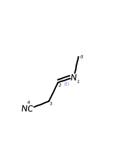 C/N=C/CC#N